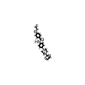 O=C(Nc1ccc(N2CCN(c3nccs3)CC2)cc1)c1ccc(OCCF)cc1